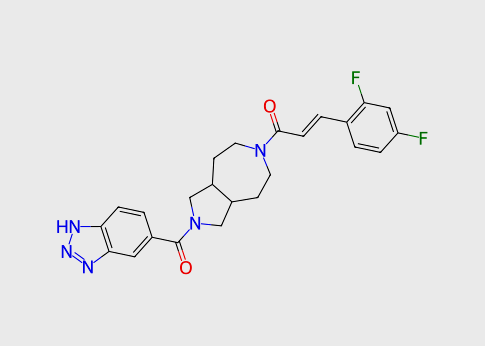 O=C(/C=C/c1ccc(F)cc1F)N1CCC2CN(C(=O)c3ccc4[nH]nnc4c3)CC2CC1